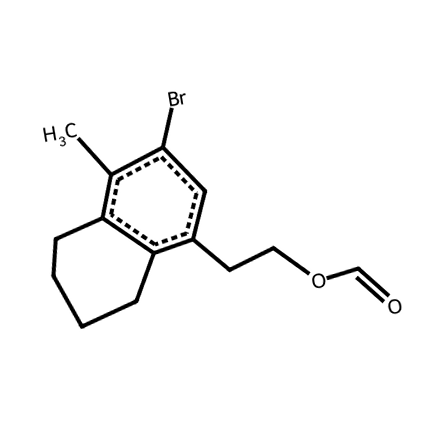 Cc1c(Br)cc(CCOC=O)c2c1CCCC2